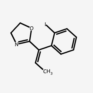 C/C=C(/C1=NCCO1)c1ccccc1I